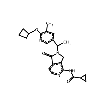 Cc1cc(C(C)N2Cc3c(ccnc3NC(=O)C3CC3)C2=O)cnc1OC1CCC1